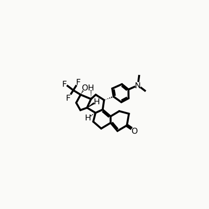 CN(C)c1ccc([C@H]2C[C@@]3(C)[C@@H](CC[C@@]3(O)C(F)(F)F)[C@@H]3CCC4=CC(=O)CCC4=C32)cc1